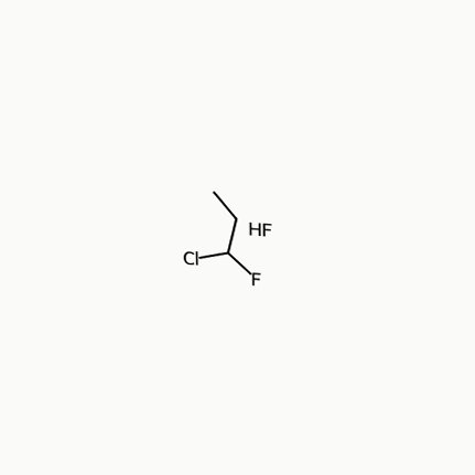 CCC(F)Cl.F